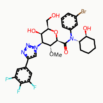 CO[C@@H]1[C@@H](n2cc(-c3cc(F)c(F)c(F)c3)nn2)[C@@H](O)[C@@H](CO)O[C@H]1C(=O)N(c1cccc(Br)c1)[C@H]1CCCC[C@@H]1O